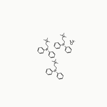 C=O.C[Si](C)(C)CCP(c1ccccc1)c1ccccc1.C[Si](C)(C)CCP(c1ccccc1)c1ccccc1.C[Si](C)(C)CCP(c1ccccc1)c1ccccc1.[Ir]